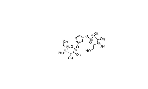 OCC1O[C@@H](Oc2cccc(O[C@@H]3O[C@H](CO)[C@@H](O)C(O)C3O)c2)[C@@H](O)C(O)[C@@H]1O